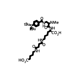 CN[C@H](CNC(=O)c1ccc([SH](C(C)(C)C)C(C)(C)C)cc1)C(=O)N[C@H](CCCCNC(=O)CCC(=O)NCCCCC(=O)O)C(=O)O